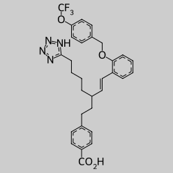 O=C(O)c1ccc(CCC(/C=C/c2ccccc2OCc2ccc(OC(F)(F)F)cc2)CCCCc2nnn[nH]2)cc1